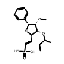 CCC(C)O[C@H]1[C@@H](OC)[C@H](c2ccccc2)O[C@@H]1/C=C/P(=O)(O)O